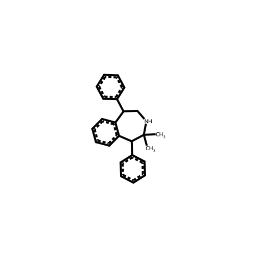 CC1(C)NCC(c2ccccc2)c2ccccc2C1c1ccccc1